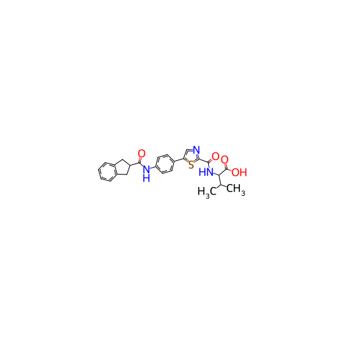 CC(C)C(NC(=O)c1ncc(-c2ccc(NC(=O)C3Cc4ccccc4C3)cc2)s1)C(=O)O